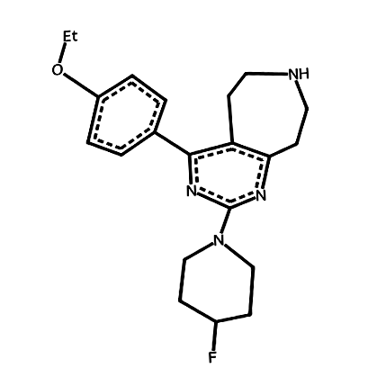 CCOc1ccc(-c2nc(N3CCC(F)CC3)nc3c2CCNCC3)cc1